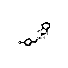 Clc1ccc(/C=N/Nc2nc3ccccc3[nH]2)cc1